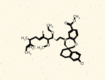 C/C=C(\C)[C@@H](C)C/C=C(\F)C(OC)[C@@H](CCN1C[C@@]2(CCCc3cc(Cl)ccc32)COc2ccc(C(=O)OC)cc21)OCC